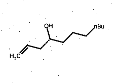 C=CCC(O)CCCCCCC